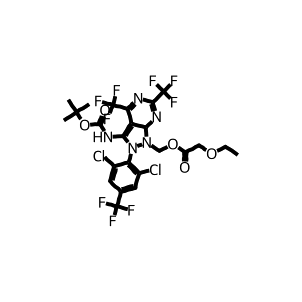 CCOCC(=O)OCN1C2N=C(C(F)(F)F)N=C(C(F)(F)F)C2=C(NC(=O)OC(C)(C)C)N1c1c(Cl)cc(C(F)(F)F)cc1Cl